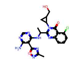 Cc1noc(-c2c(N)ncnc2NC(C)c2nc3cccc(Cl)c3c(=O)n2C2CC2CO)n1